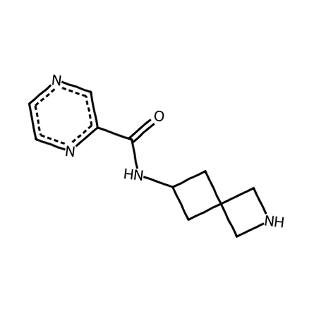 O=C(NC1CC2(CNC2)C1)c1cnccn1